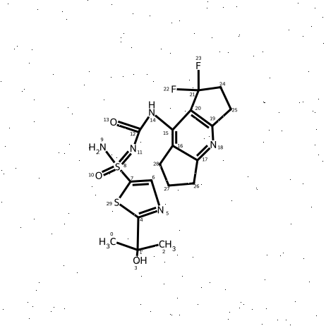 CC(C)(O)c1ncc(S(N)(=O)=NC(=O)Nc2c3c(nc4c2C(F)(F)CC4)CCC3)s1